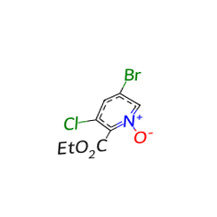 CCOC(=O)c1c(Cl)cc(Br)c[n+]1[O-]